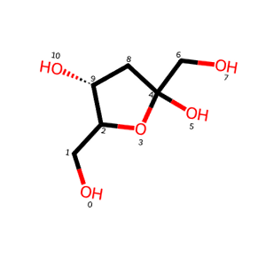 OCC1OC(O)(CO)C[C@H]1O